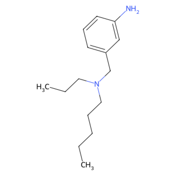 CCCCCN(CCC)Cc1cccc(N)c1